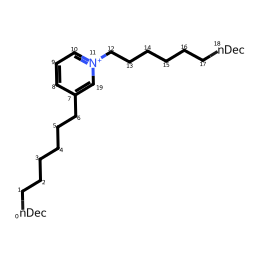 CCCCCCCCCCCCCCCCc1ccc[n+](CCCCCCCCCCCCCCCC)c1